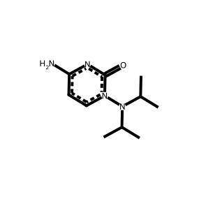 CC(C)N(C(C)C)n1ccc(N)nc1=O